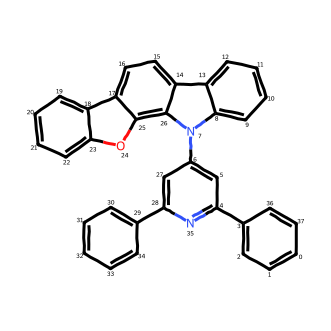 c1ccc(-c2cc(-n3c4ccccc4c4ccc5c6ccccc6oc5c43)cc(-c3ccccc3)n2)cc1